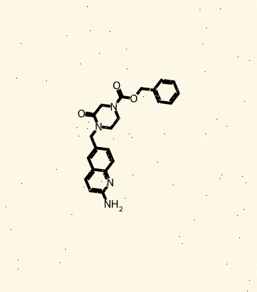 Nc1ccc2cc(CN3CCN(C(=O)OCc4ccccc4)CC3=O)ccc2n1